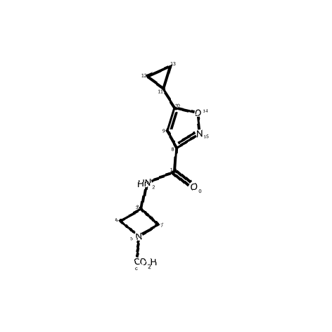 O=C(NC1CN(C(=O)O)C1)c1cc(C2CC2)on1